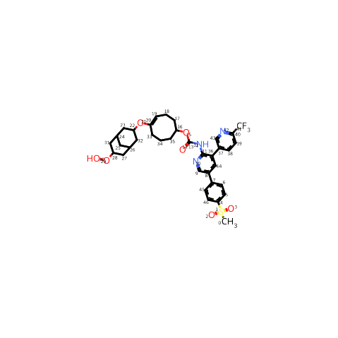 CS(=O)(=O)c1ccc(-c2cnc(NC(=O)OC3CC/C=C(/OC4CC5CC(CC(OO)C5)C4)CCC3)c(-c3ccc(C(F)(F)F)nc3)c2)cc1